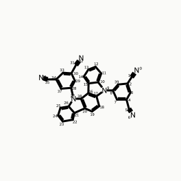 N#Cc1cc(C#N)cc(-n2c3ccccc3c3c2ccc2c4ccccc4n(-c4cc(C#N)cc(C#N)c4)c23)c1